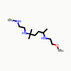 CC(CCC(C)(C)NCCNC(C)(C)C)NCCOC(C)(C)C